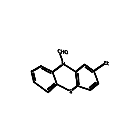 CCc1ccc2c(c1)N(C=O)c1ccccc1S2